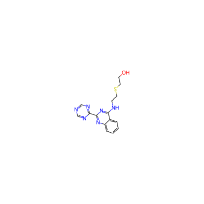 OCCSCCNc1nc(-c2ncncn2)nc2ccccc12